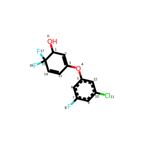 OC1C=C(Oc2cc(F)cc(Cl)c2)C=CC1(F)F